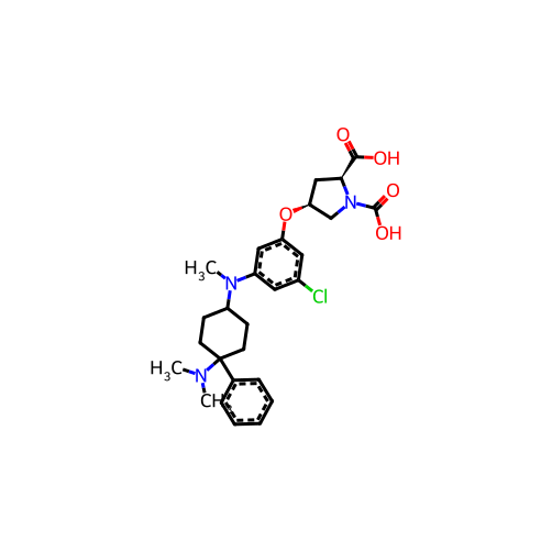 CN(c1cc(Cl)cc(O[C@H]2C[C@@H](C(=O)O)N(C(=O)O)C2)c1)C1CCC(c2ccccc2)(N(C)C)CC1